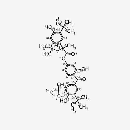 CC(C)(C)CC(C)(C(=O)Oc1ccc(C(=O)c2cc(C(C)(C)C)c(O)c(C(C)(C)C)c2)c(O)c1)c1ccc(O)c(C(C)(C)C)c1